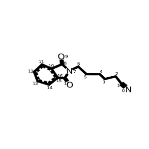 N#CCCCCCN1C(=O)c2ccccc2C1=O